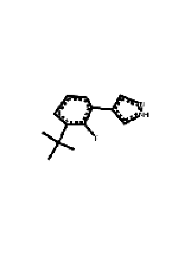 CC(C)(C)c1cccc(-c2cn[nH]c2)c1F